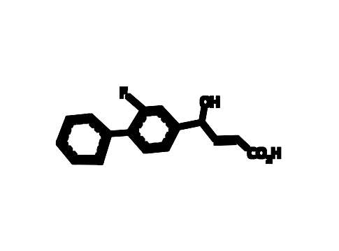 O=C(O)/C=C/C(O)c1ccc(-c2ccccc2)c(F)c1